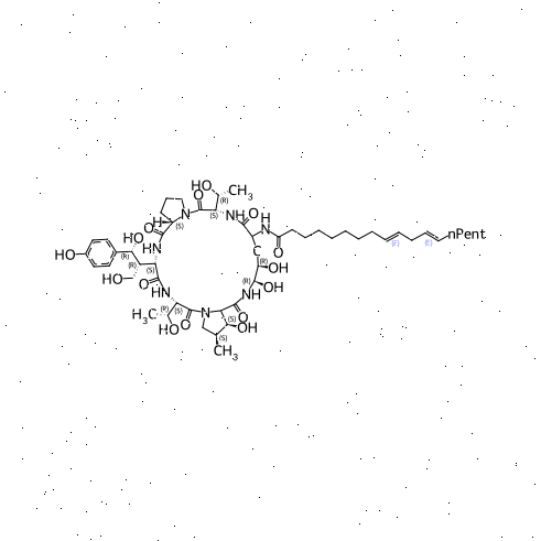 CCCCC/C=C/C/C=C/CCCCCCCC(=O)NC1C[C@@H](O)[C@@H](O)NC(=O)C2[C@@H](O)[C@@H](C)CN2C(=O)[C@H]([C@@H](C)O)NC(=O)[C@H]([C@H](CO)[C@@H](O)c2ccc(O)cc2)NC(=O)[C@@H]2CCCN2C(=O)[C@H]([C@@H](C)O)NC1=O